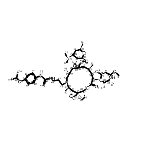 CC[C@H]1OC(=O)[C@H](C)[C@@H](O[C@@H](CCOC)O[C@@H](C)[C@@H](C)O)[C@H](C)[C@@H](O[C@@H]2O[C@H](C)C[C@H](N(C)C)[C@H]2O)[C@](C)(O)C[C@@H](C)CN(CCCNC(=S)Nc2ccc(OC(F)F)cc2)[C@H](C)[C@@H](O)[C@]1(C)O